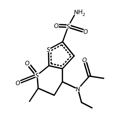 CCN(C(C)=O)C1CC(C)S(=O)(=O)c2sc(S(N)(=O)=O)cc21